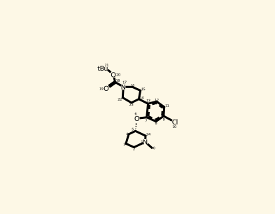 CN1CCC[C@H](Oc2cc(Cl)ccc2C2CCN(C(=O)OC(C)(C)C)CC2)C1